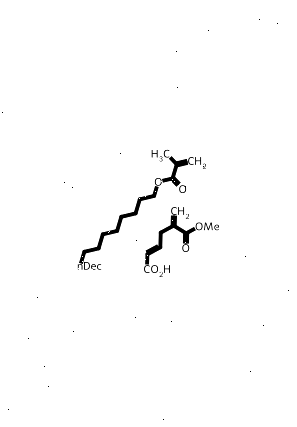 C=C(C)C(=O)OCCCCCCCCCCCCCCCCCC.C=C(CC=CC(=O)O)C(=O)OC